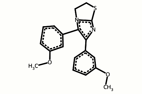 COc1cccc(-c2nc3n(c2-c2cccc(OC)c2)CCS3)c1